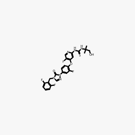 CC(C)(CO)NC(=S)Nc1cc(Oc2ccc(-n3ncn(Cc4c(F)cccc4F)c3=O)cc2F)c(F)cn1